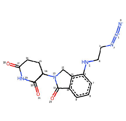 [N-]=[N+]=NCCNc1cccc2c1CN(C1CCC(=O)NC1=O)C2=O